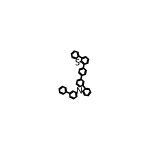 c1ccc(-c2cccc(-n3c4ccccc4c4cc(-c5ccc(-c6cccc7c6sc6ccccc67)cc5)ccc43)c2)cc1